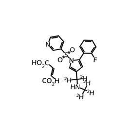 O=C(O)/C=C/C(=O)O.[2H]C([2H])([2H])NC([2H])([2H])c1cc(-c2ccccc2F)n(S(=O)(=O)c2cccnc2)c1